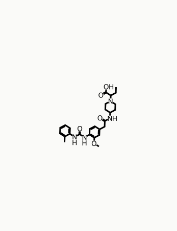 CCC(C(=O)O)N1CCC(NC(=O)Cc2ccc(NC(=O)Nc3ccccc3C)c(OC)c2)CC1